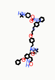 CC(C)(C)N[C@H]1CC[C@H](OC(=O)Nc2cc(/C=C/CCOc3ccc(CCNC[C@H](O[Si](C)(C)C(C)(C)C)c4ccc(OCc5ccccc5)c5[nH]c(=O)ccc45)cc3)ccc2-c2ccccc2)CC1